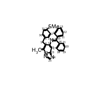 CSc1ccc(Cc2c(N=C(c3ccccc3)c3ccccc3)cc3ncnn3c2C)cc1